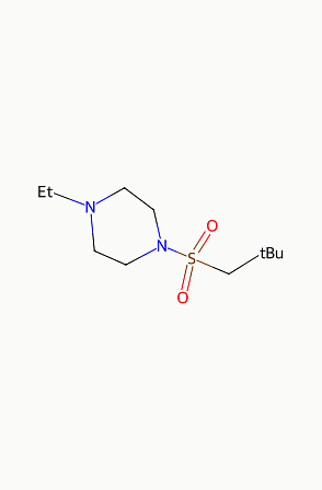 CCN1CCN(S(=O)(=O)CC(C)(C)C)CC1